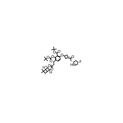 C[C@H]1C2[C@H]3OB(CCc4ccc(OC5CN(C(=O)C[C@@H]6C[C@H](F)CN6)C5)c(C(=O)OC(C)(C)C)c4OC(=O)OC(C)(C)C)O[C@@]3(C)[C@@H]2C1(C)C